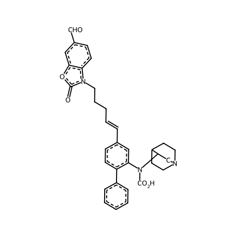 O=Cc1ccc2c(c1)oc(=O)n2CCCC=Cc1ccc(-c2ccccc2)c(N(C(=O)O)C2CN3CCC2CC3)c1